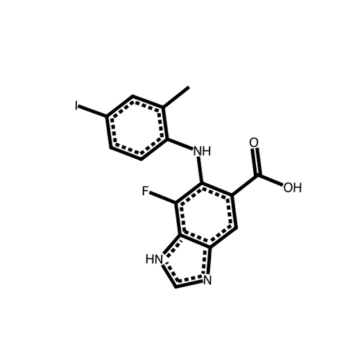 Cc1cc(I)ccc1Nc1c(C(=O)O)cc2nc[nH]c2c1F